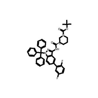 CC(C)(C)OC(=O)N1CCC[C@@H](C(=O)Nc2nn(C(c3ccccc3)(c3ccccc3)c3ccccc3)c3ccc(-c4cc(F)ccc4F)cc23)C1